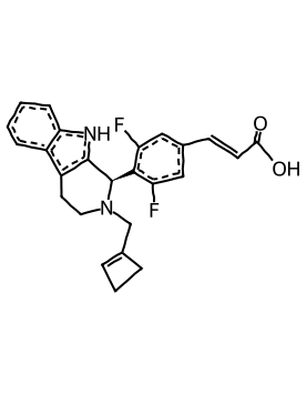 O=C(O)/C=C/c1cc(F)c([C@@H]2c3[nH]c4ccccc4c3CCN2CC2=CCC2)c(F)c1